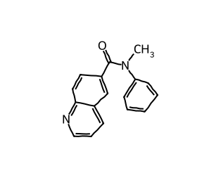 CN(C(=O)c1ccc2ncccc2c1)c1ccccc1